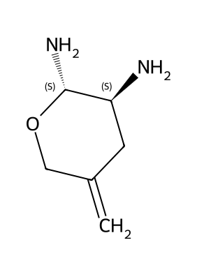 C=C1CO[C@H](N)[C@@H](N)C1